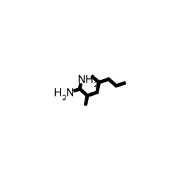 CCCC(C)CC(C)C(N)N